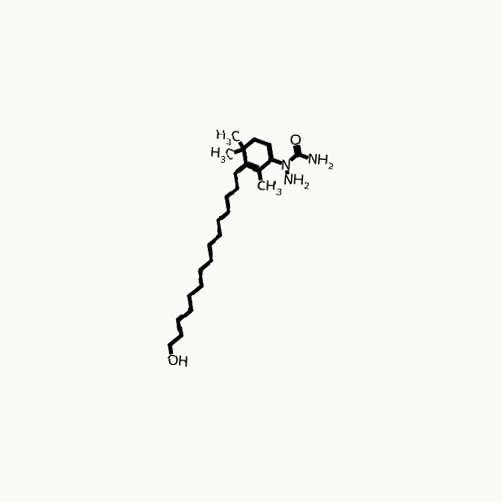 CC1=C(CCCCCCCCCCCCCCCO)C(C)(C)CCC1N(N)C(N)=O